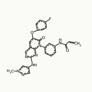 C=CC(=O)Nc1cccc(-n2c(=O)c(Oc3ccc(F)cc3)cc3cnc(Nc4cnn(C)c4)nc32)c1